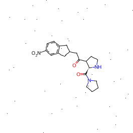 O=C(CC1Cc2ccc([N+](=O)[O-])cc2C1)C1CCN[C@H]1C(=O)N1CCCC1